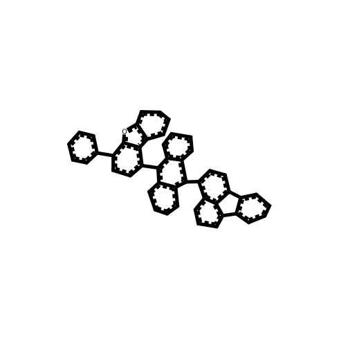 c1ccc(-c2ccc(-c3c4ccccc4c(-c4ccc5c6c(cccc46)-c4ccccc4-5)c4ccccc34)c3c2oc2ccccc23)cc1